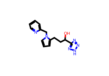 OC(CCc1cccn1Cc1ccccn1)c1nn[nH]n1